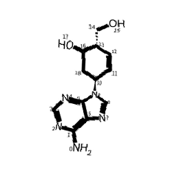 Nc1ncnc2c1ncn2[C@@H]1C=C[C@@H](CO)C(O)C1